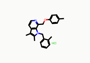 Cc1ccc(OCc2nccc3c(C)c(C)n(Cc4ccccc4C)c23)cc1.Cl